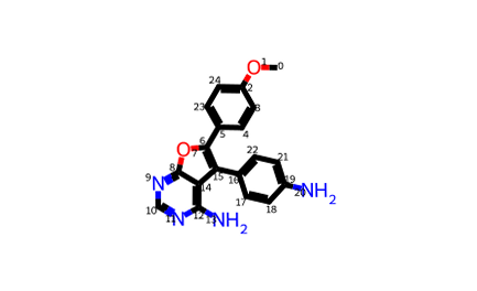 COc1ccc(-c2oc3ncnc(N)c3c2-c2ccc(N)cc2)cc1